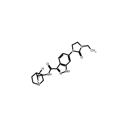 CCN1CCN(c2ccc3c(C(=O)N[C@@H]4CN5CCC4CC5)n[nH]c3c2)C1=O